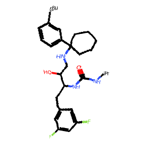 CC(C)NC(=O)NC(Cc1cc(F)cc(F)c1)C(O)CNC1(c2cccc(C(C)(C)C)c2)CCCCC1